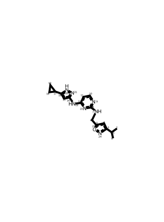 CC(C)c1cc(CNc2nccc(Nc3cc(C4CC4)[nH]n3)n2)on1